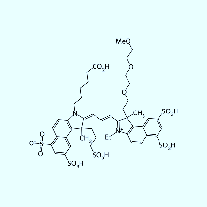 CC[N+]1=C(/C=C/C=C2/N(CCCCCC(=O)O)c3ccc4c(S(=O)(=O)[O-])cc(S(=O)(=O)O)cc4c3C2(C)CCCS(=O)(=O)O)C(C)(CCOCCOCCOC)c2c1ccc1c(S(=O)(=O)O)cc(S(=O)(=O)O)cc21